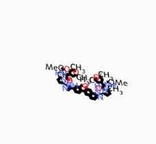 COCN[C@H](C(=O)N1[C@@H](C)CC[C@H]1c1nc2ccc3cc4c(cc3c2[nH]1)OCc1cc(-c2cnc([C@@H]3CC[C@H](C)N3C(=O)[C@@H](NC(=O)OC)C3C[C@@H](C)O[C@H](C)C3)[nH]2)ccc1-4)C1C[C@@H](C)O[C@H](C)C1